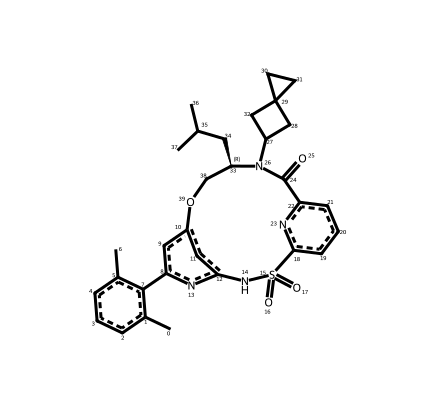 Cc1cccc(C)c1-c1cc2cc(n1)NS(=O)(=O)c1cccc(n1)C(=O)N(C1CC3(CC3)C1)[C@H](CC(C)C)CO2